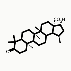 C[C@@H]1CC[C@]2(C(=O)O)CC[C@]3(C)C(CCC4[C@@]5(C)CCC(=O)C(C)(C)C5CC[C@]43C)C12